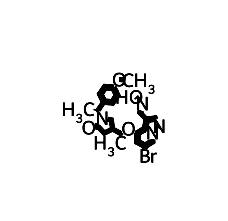 COc1ccc([C@@H](C)N2CC([C@@H](C)Oc3cc(Br)cn4ncc(C=NO)c34)CC2=O)cc1